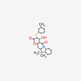 Cc1cccc(Sc2c(O)c3c(=O)n4c(cc3oc2=O)C(C)(C)c2ccccc2-4)c1